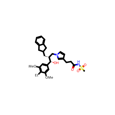 CCc1c(OC)cc([C@@H](O)[C@H](CC2Cc3ccccc3C2)Cn2ccc(CCC(=O)NS(C)(=O)=O)c2)cc1OC